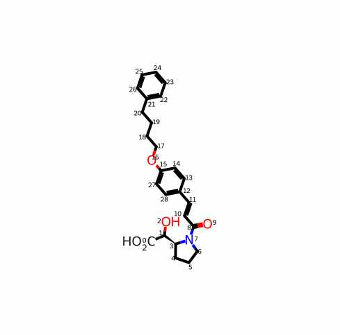 O=C(O)C(O)[C@@H]1CCCN1C(=O)C=Cc1ccc(OCCCCc2ccccc2)cc1